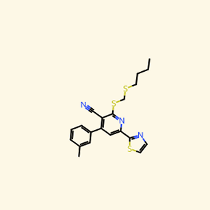 CCCCSCSc1nc(-c2nccs2)cc(-c2cccc(C)c2)c1C#N